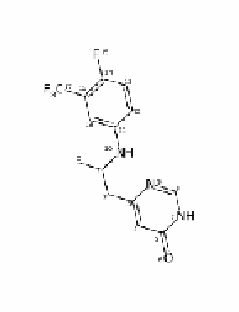 CC(Cc1cc(=O)[nH]cn1)Nc1ccc(F)c(C(F)(F)F)c1